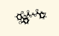 O=C(NC[C@]1(c2ccccc2Cl)CCCCC1=O)OCOC(=O)c1cccnc1